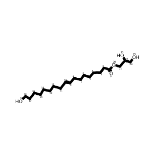 O=C(CCCCCCC/C=C/CCCCCCCCO)OCC(O)CO